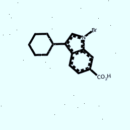 O=C(O)c1ccc2c(C3CCCCC3)cn(Br)c2c1